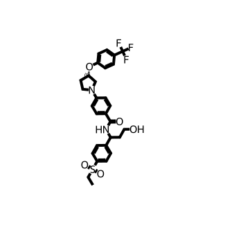 CCS(=O)(=O)c1ccc(C(CCO)NC(=O)c2ccc(N3CC[C@H](Oc4ccc(C(F)(F)F)cc4)C3)cc2)cc1